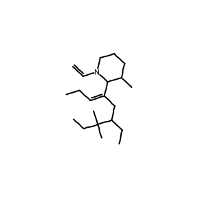 C=CN1CCCC(C)C1/C(=C\CC)CC(CC)C(C)(C)CC